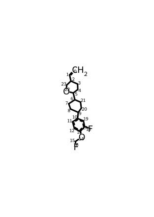 C=CC1CCC(C2CCC(c3ccc(OCF)c(F)c3)CC2)OC1